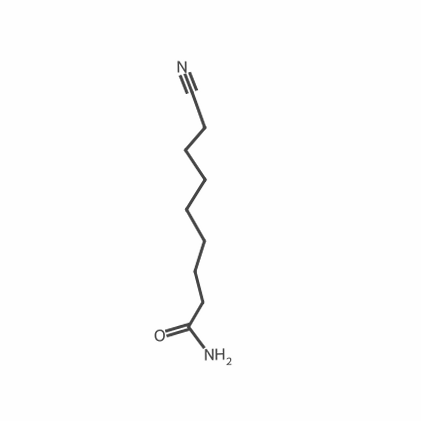 N#CCCCCCCCC(N)=O